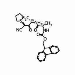 C[C@H](NC(=O)[C@@H](C)NC(=O)OCC1c2ccccc2-c2ccccc21)C(=O)C(C#N)=S1CCCC1